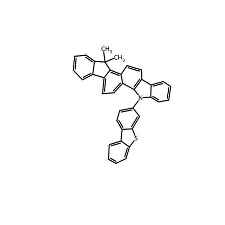 CC1(C)c2ccccc2-c2ccc3c(ccc4c5ccccc5n(-c5ccc6c(c5)sc5ccccc56)c34)c21